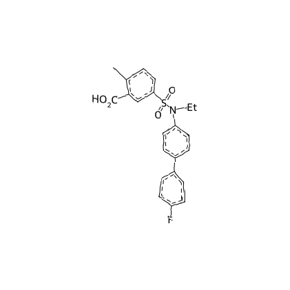 CCN(c1ccc(-c2ccc(F)cc2)cc1)S(=O)(=O)c1ccc(C)c(C(=O)O)c1